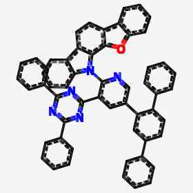 c1ccc(-c2ccc(-c3ccccc3)c(-c3cnc(-n4c5ccccc5c5ccc6c7ccccc7oc6c54)c(-c4nc(-c5ccccc5)nc(-c5ccccc5)n4)c3)c2)cc1